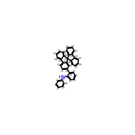 c1ccc(Nc2ccccc2-c2ccc3c(c2)C2(c4ccccc4-c4ccccc42)c2ccccc2-3)cc1